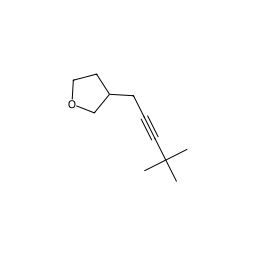 CC(C)(C)C#CCC1CCOC1